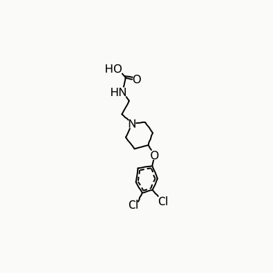 O=C(O)NCCN1CCC(Oc2ccc(Cl)c(Cl)c2)CC1